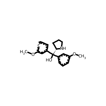 COc1cccc(C(O)(c2cccc(OC)c2)[C@@H]2CCCN2)c1